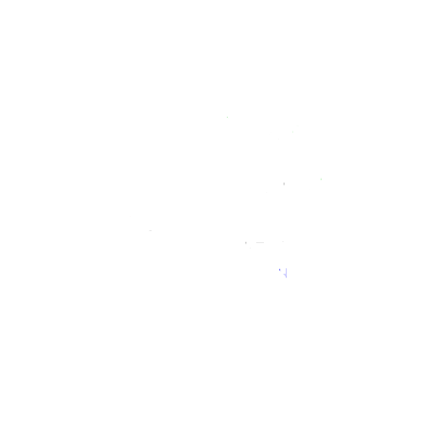 Cc1cc(C2=C(c3ccc(Cl)cc3Cl)CCCc3cc(C(=O)O)ccc32)cc(C)c1C=C1CN(CCCF)C1.Cl